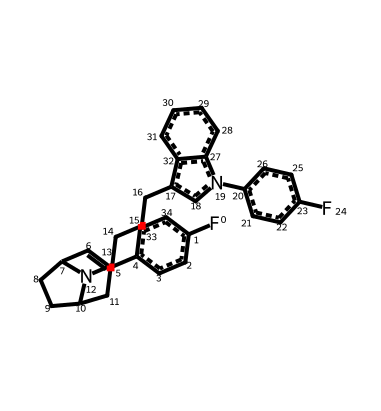 Fc1ccc(C2=CC3CCC(C2)N3CCCCc2cn(-c3ccc(F)cc3)c3ccccc23)cc1